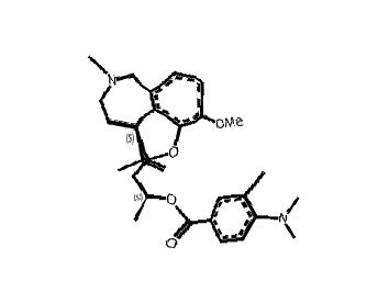 C=C(C)[C@@]12CCN(C)Cc3ccc(OC)c(c31)OC2C[C@H](C)OC(=O)c1ccc(N(C)C)c(C)c1